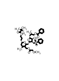 COCC(=O)OCC1=C(C)C[C@H](CCCOC(=O)C(C)(C)C)OC1C[C@@H]1O[C@H](C[C@H](C)COC(=O)c2ccccc2)[C@H](C)[C@H]1CS(=O)(=O)c1ccccc1